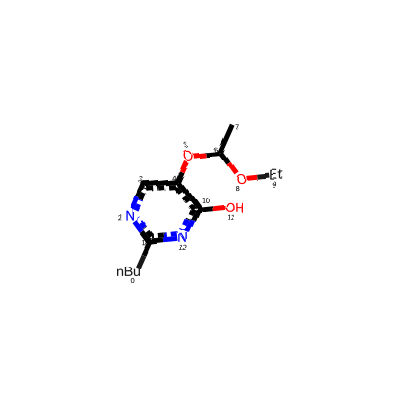 CCCCc1ncc(OC(C)OCC)c(O)n1